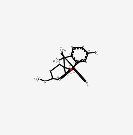 COC1CCC2(CC1)C(C)(C)c1ccc(Br)cc1C21NC(=O)CC1=O